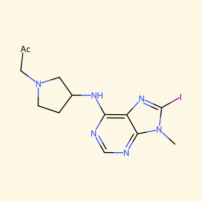 CC(=O)CN1CCC(Nc2ncnc3c2nc(I)n3C)C1